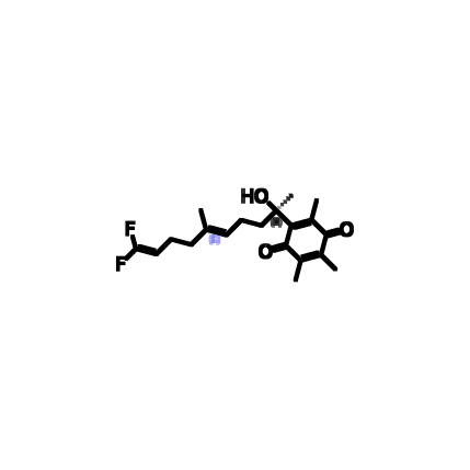 CC1=C(C)C(=O)C([C@](C)(O)CC/C=C(\C)CCC=C(F)F)=C(C)C1=O